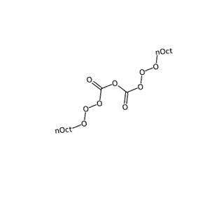 CCCCCCCCOOOC(=O)OC(=O)OOOCCCCCCCC